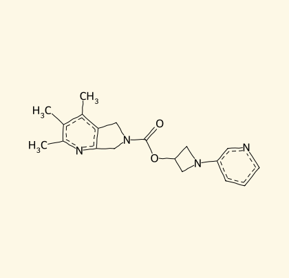 Cc1nc2c(c(C)c1C)CN(C(=O)OC1CN(c3cccnc3)C1)C2